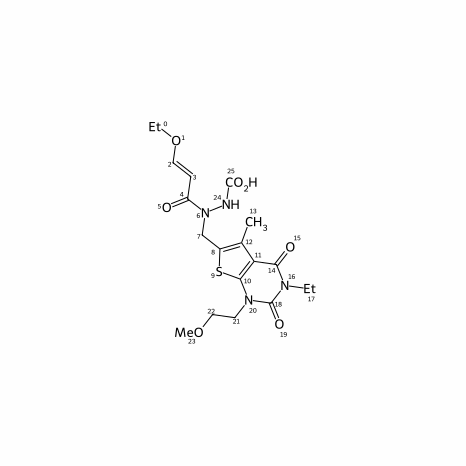 CCOC=CC(=O)N(Cc1sc2c(c1C)c(=O)n(CC)c(=O)n2CCOC)NC(=O)O